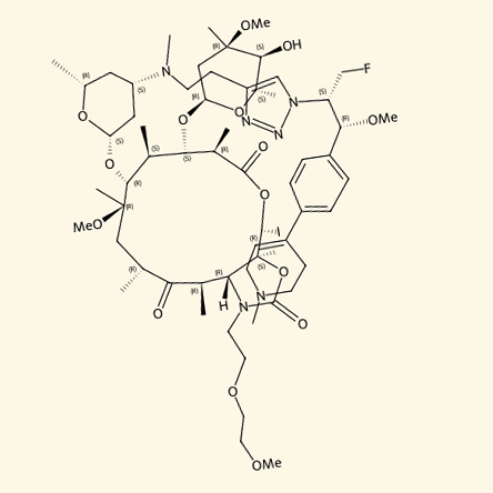 COCCOCCN1C(=O)O[C@]2(C)[C@@H](I)OC(=O)[C@H](C)[C@@H](O[C@H]3C[C@@](C)(OC)[C@@H](O)[C@H](C)O3)[C@H](C)[C@@H](O[C@H]3C[C@@H](N(C)CCc4cn([C@H](CF)[C@H](OC)c5ccc(C6=CCN(C)CC6)cc5)nn4)C[C@@H](C)O3)[C@](C)(OC)C[C@@H](C)C(=O)[C@H](C)[C@@H]12